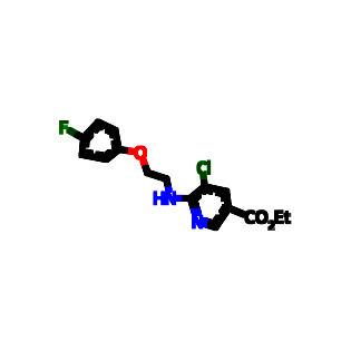 CCOC(=O)c1cnc(NCCOc2ccc(F)cc2)c(Cl)c1